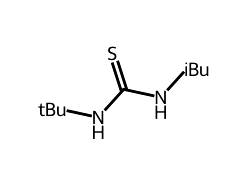 CCC(C)NC(=S)NC(C)(C)C